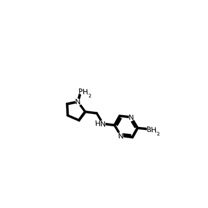 Bc1cnc(NCC2CCCN2P)cn1